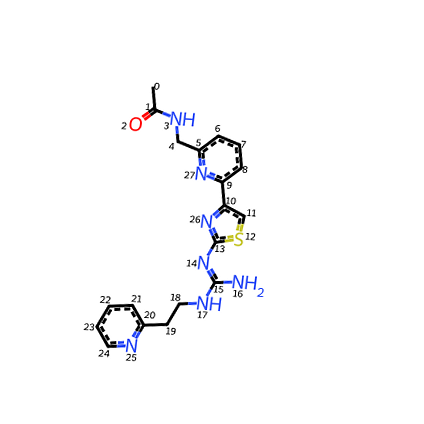 CC(=O)NCc1cccc(-c2csc(/N=C(\N)NCCc3ccccn3)n2)n1